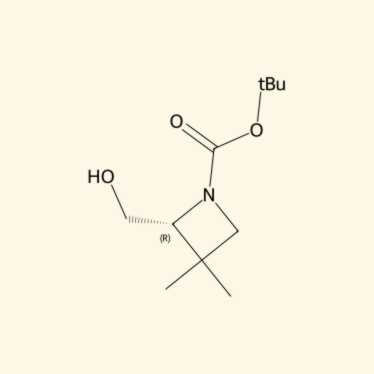 CC(C)(C)OC(=O)N1CC(C)(C)[C@@H]1CO